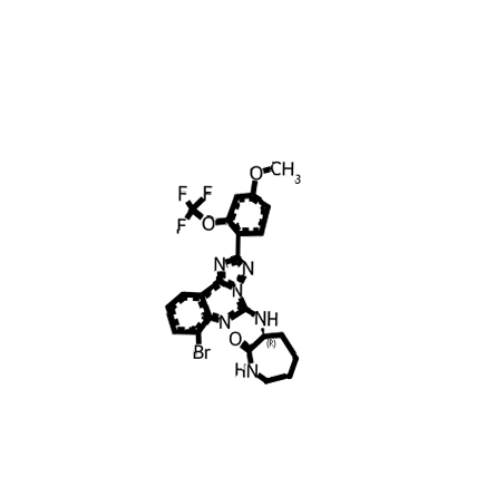 COc1ccc(-c2nc3c4cccc(Br)c4nc(N[C@@H]4CCCCNC4=O)n3n2)c(OC(F)(F)F)c1